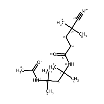 CC(=O)NC(C)(C)CC(C)(C)NC(=O)CCC(C)(C)C#N